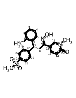 Cc1ccccc1[C@H](C/C(=N/O)c1ccc(=O)n(C)c1)c1ccc(S(C)(=O)=O)cc1